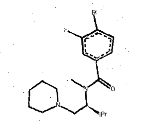 CC(C)[C@@H](CN1CCCCC1)N(C)C(=O)c1ccc(Br)c(F)c1